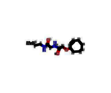 CNCCNC(=O)CNC(=O)COC1C#CCCCCC1